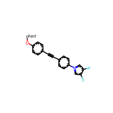 CCCCCOc1ccc(C#Cc2ccc(-n3cc(F)c(F)c3)cc2)cc1